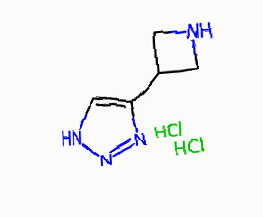 Cl.Cl.c1[nH]nnc1C1CNC1